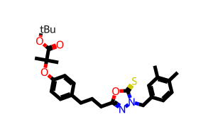 Cc1ccc(Cn2nc(CCCc3ccc(OC(C)(C)C(=O)OC(C)(C)C)cc3)oc2=S)cc1C